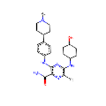 CCc1nc(C(N)=O)c(Nc2ccc(C3CCN(C(C)=O)CC3)cc2)nc1NC1CCC(O)CC1